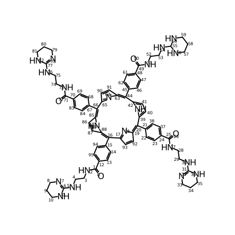 O=C(NCCNC1=NCCCN1)c1ccc(-c2c3nc(c(-c4ccc(C(=O)NCCNC5=NCCCN5)cc4)c4ccc([nH]4)c(-c4ccc(C(=O)NCCNC5NCCCN5)cc4)c4nc(c(-c5ccc(C(=O)NCCNC6=NCCCN6)cc5)c5ccc2[nH]5)C=C4)C=C3)cc1